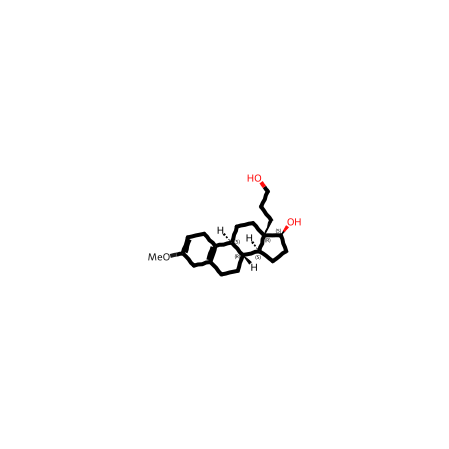 COC1=CCC2=C(CC[C@@H]3[C@@H]2CC[C@]2(CCCO)[C@@H](O)CC[C@@H]32)C1